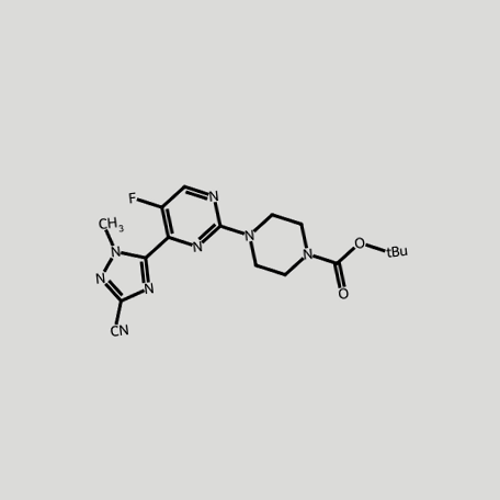 Cn1nc(C#N)nc1-c1nc(N2CCN(C(=O)OC(C)(C)C)CC2)ncc1F